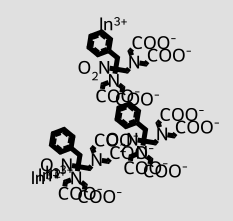 O=C([O-])CN(CC(=O)[O-])CC(Cc1ccccc1)(N(CC(=O)[O-])CC(=O)[O-])[N+](=O)[O-].O=C([O-])CN(CC(=O)[O-])CC(Cc1ccccc1)(N(CC(=O)[O-])CC(=O)[O-])[N+](=O)[O-].O=C([O-])CN(CC(=O)[O-])CC(Cc1ccccc1)(N(CC(=O)[O-])CC(=O)[O-])[N+](=O)[O-].[In+3].[In+3].[In+3].[In+3]